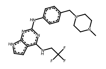 CN1CCN(Cc2ccc(Nc3nc(NCC(F)(F)F)c4cc[nH]c4n3)cc2)CC1